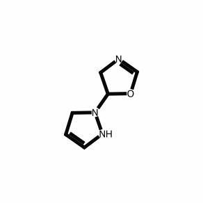 C1=CNN(C2CN=CO2)C1